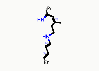 CC/C=C/C=C/NCC/C(C)=C\C(=N)CCC